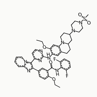 CCOc1cc2c(cc1Nc1nccc(-c3c(-c4ccc(OCC)c(C(=O)Nc5c(F)cccc5F)c4)nc4ccccn34)n1)CCC1CC(N3CCN(S(C)(=O)=O)CC3)CCN21